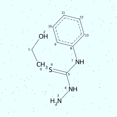 CCO.NNC(=S)Nc1ccccc1